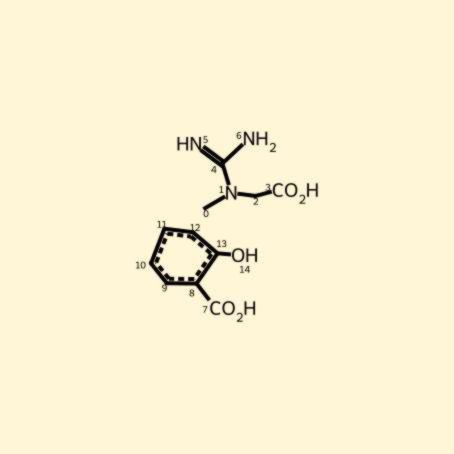 CN(CC(=O)O)C(=N)N.O=C(O)c1ccccc1O